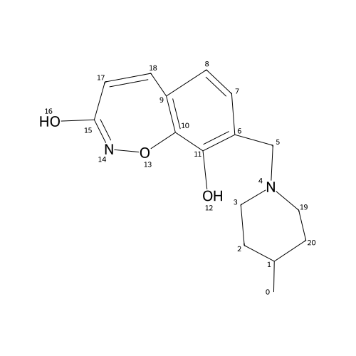 CC1CCN(Cc2ccc3c(c2O)ON=C(O)C=C3)CC1